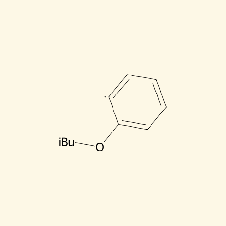 CCC(C)Oc1[c]cccc1